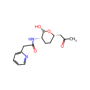 CC(=O)C[C@@H]1CC[C@H](NC(=O)Cc2ccccn2)B(O)O1